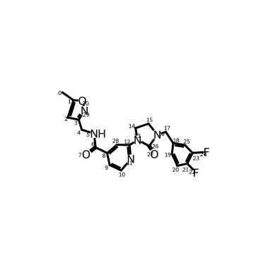 Cc1cc(CNC(=O)c2ccnc(N3CCN(Cc4ccc(F)c(F)c4)C3=O)c2)no1